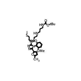 COc1cccc(OC)c1-n1c(-c2ccc(C)o2)nnc1N(CCSI)SCCNCCCNC(=O)OC(C)(C)C